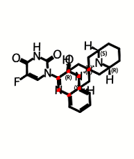 O=c1[nH]c(=O)n(-c2nc3ccccc3n([C@H]3C[C@H]4CCC[C@@H](C3)N4[C@H]3C[C@@H]4CCC[C@@H](C4)C3)c2=O)cc1F